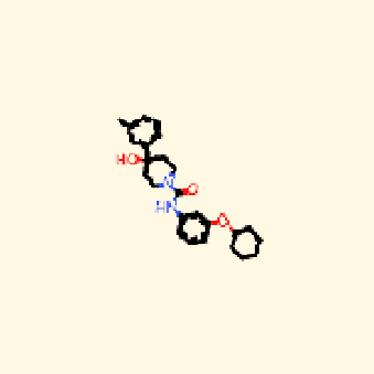 Cc1cccc(C2(O)CCN(C(=O)Nc3cccc(OC4CCCCC4)c3)CC2)c1